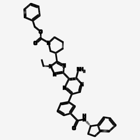 CCn1nc(-c2nc(-c3cccc(C(=O)N[C@H]4CCc5ccccc54)c3)cnc2N)nc1C1CCCN(C(=O)OCc2ccccc2)C1